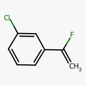 C=C(F)c1cccc(Cl)c1